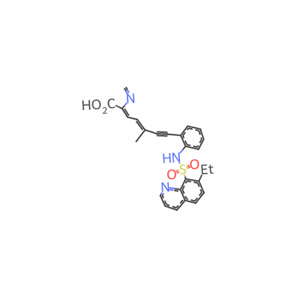 C=N/C(=C\C=C(/C)C#Cc1ccccc1NS(=O)(=O)c1c(CC)ccc2cccnc12)C(=O)O